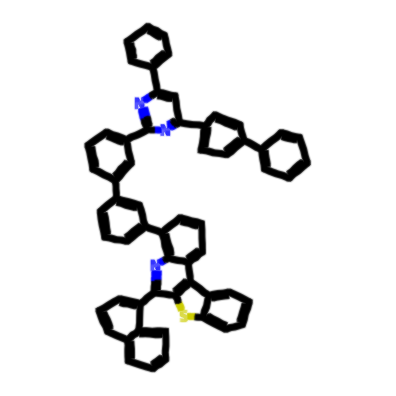 c1ccc(-c2ccc(-c3cc(-c4ccccc4)nc(-c4cccc(-c5cccc(-c6cccc7c6nc(-c6cccc8ccccc68)c6sc8ccccc8c67)c5)c4)n3)cc2)cc1